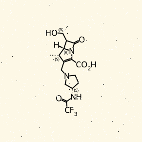 C[C@@H](O)C1C(=O)N2C(C(=O)O)=C(CN3CC[C@H](NC(=O)C(F)(F)F)C3)[C@H](C)[C@H]12